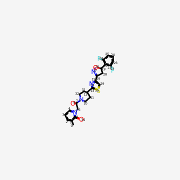 Cc1cccn(CC(=O)N2CCC(c3nc(C4=NOC(c5c(F)cccc5F)C4)cs3)CC2)c1=O